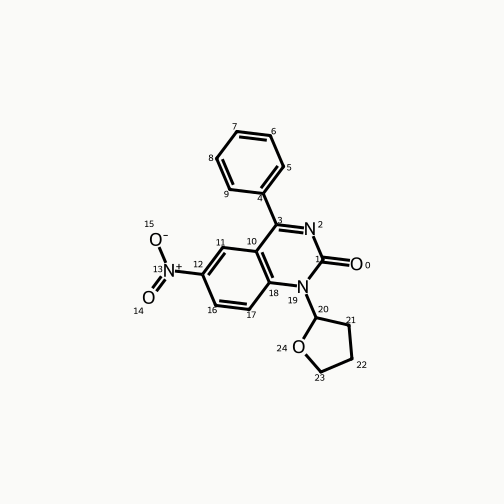 O=c1nc(-c2ccccc2)c2cc([N+](=O)[O-])ccc2n1C1CCCO1